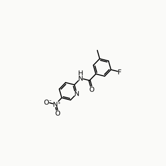 Cc1cc(F)cc(C(=O)Nc2ccc([N+](=O)[O-])cn2)c1